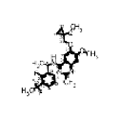 COc1cc2nc(C)nc(N[C@H](C)c3cccc(C(C)(F)F)c3F)c2cc1OCC1(OC)CC1